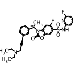 CCN(CC)CC#Cc1cccc([C@@H](C)n2c(=O)oc3cc(S(=O)(=O)Nc4cccc(F)n4)c(F)cc32)c1